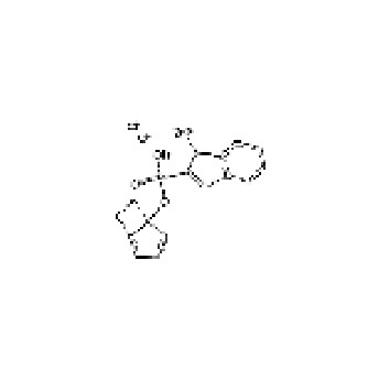 O=P(O)(OC12C=CC=C1CC2)C1=Cc2ccccc2[CH]1[Zr+2].[Cl-].[Cl-]